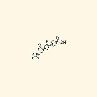 O=C(NC[C@H]1CN(c2ccc(N3CCN(C(=O)CO)CC3)c(F)c2)C(=O)O1)C(F)F